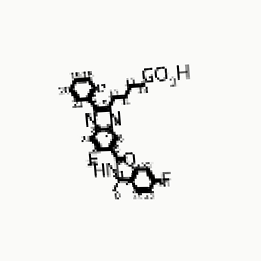 C[C@@H](NC(=O)c1cc2nc(CCCCC(=O)O)c(-c3ccccc3)nc2cc1F)c1ccc(F)cc1